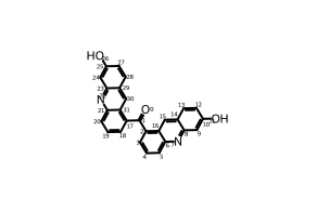 O=C(c1cccc2nc3cc(O)ccc3cc12)c1cccc2nc3cc(O)ccc3cc12